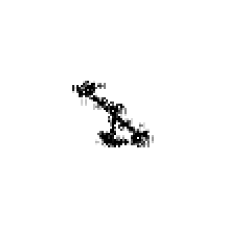 COCC(O)C(=O)N(CCNC(=O)CCCCO[C@@H]1OC(CO)[C@H](O)C(O)C1NC(C)=O)CCN(CCNC(=O)CCCCO[C@@H]1OC(CO)[C@H](O)C(O)C1NC(C)=O)C(=O)CCCCO[C@@H]1OC(CO)[C@H](O)C(O)C1NC(C)=O